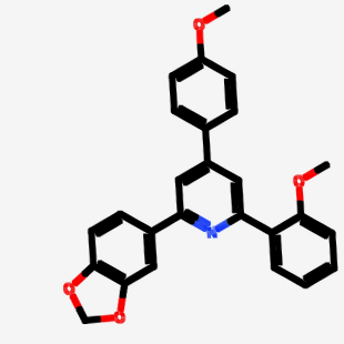 COc1ccc(-c2cc(-c3ccc4c(c3)OCO4)nc(-c3ccccc3OC)c2)cc1